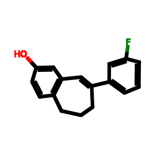 Oc1ccc2c(c1)C=C(c1cccc(F)c1)CCC2